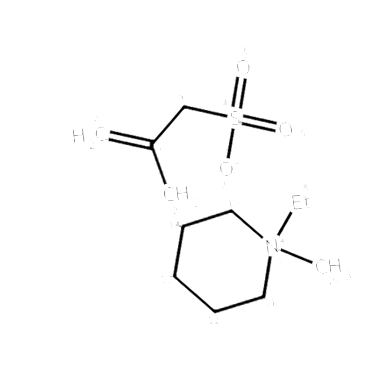 C=C(C)CS(=O)(=O)[O-].CC[N+]1(C)CCCCC1